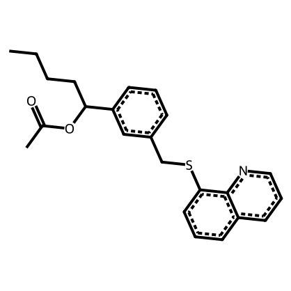 CCCCC(OC(C)=O)c1cccc(CSc2cccc3cccnc23)c1